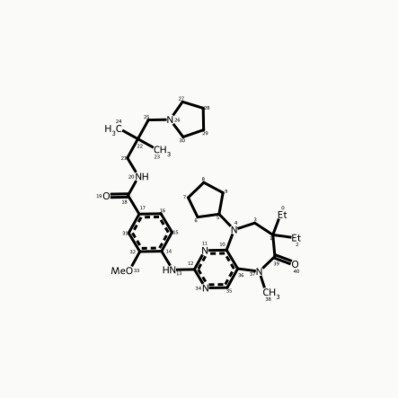 CCC1(CC)CN(C2CCCC2)c2nc(Nc3ccc(C(=O)NCC(C)(C)CN4CCCC4)cc3OC)ncc2N(C)C1=O